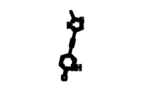 Cc1nc(C#Cc2ccc(=O)[nH]c2)cs1